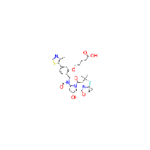 Cc1ncsc1-c1ccc(CN(C=O)[C@@H]2C[C@@H](O)CN2C(=O)[C@@H](N(C=O)C2(F)CC2)C(C)(C)C)c(OCCCCC(=O)O)c1